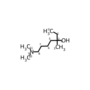 CCC(C)(O)CCCCN(C)C